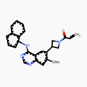 C=CC(=O)N1CC(c2cc3c(Nc4cccc5ccccc45)ncnc3cc2OC)C1